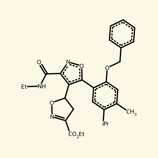 CCNC(=O)c1noc(-c2cc(C(C)C)c(C)cc2OCc2ccccc2)c1C1CC(C(=O)OCC)=NO1